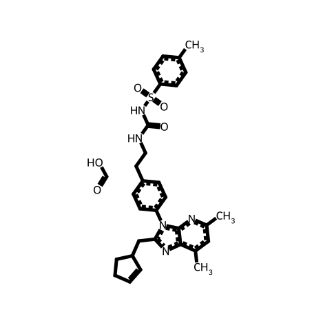 Cc1ccc(S(=O)(=O)NC(=O)NCCc2ccc(-n3c(CC4C=CCC4)nc4c(C)cc(C)nc43)cc2)cc1.O=CO